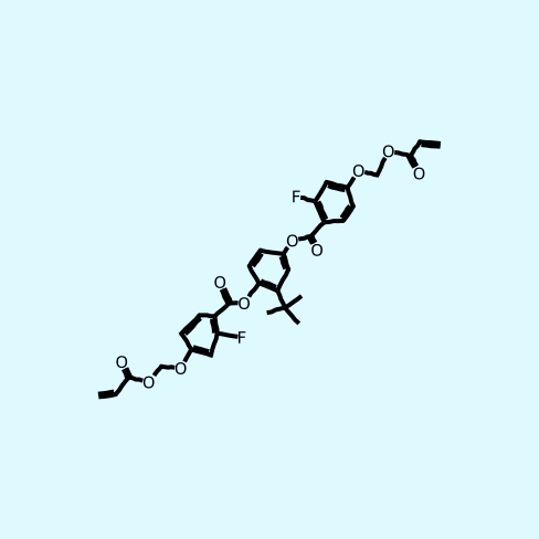 C=CC(=O)OCOc1ccc(C(=O)Oc2ccc(OC(=O)c3ccc(OCOC(=O)C=C)cc3F)c(C(C)(C)C)c2)c(F)c1